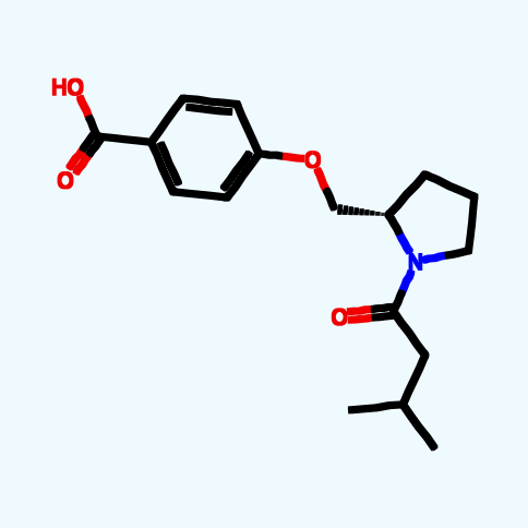 CC(C)CC(=O)N1CCC[C@H]1COc1ccc(C(=O)O)cc1